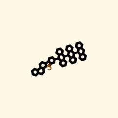 c1ccc2c(-c3c4ccccc4c(-c4c5ccccc5c(-c5ccc6c(c5)sc5c6ccc6c7ccccc7ccc65)c5ccccc45)c4ccccc34)c3ccccc3cc2c1